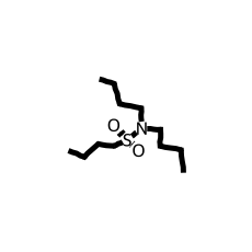 CCCCN(CCCC)S(=O)(=O)CCCC